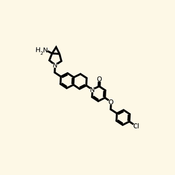 NC12CC1CN(Cc1ccc3c(c1)CCC(n1ccc(OCc4ccc(Cl)cc4)cc1=O)=C3)C2